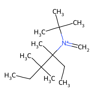 C=[N+](C(C)(C)C)C(C)(CC)C(C)(C)CC